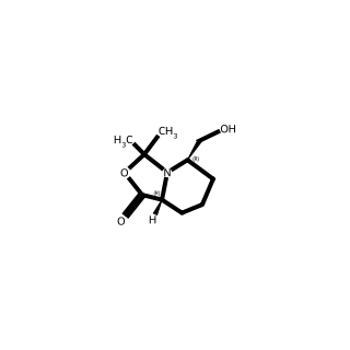 CC1(C)OC(=O)[C@H]2CCC[C@H](CO)N21